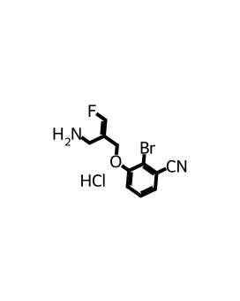 Cl.N#Cc1cccc(OCC(=CF)CN)c1Br